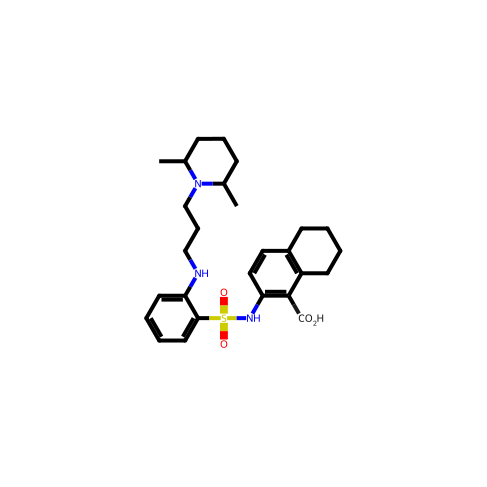 CC1CCCC(C)N1CCCNc1ccccc1S(=O)(=O)Nc1ccc2c(c1C(=O)O)CCCC2